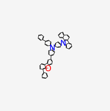 c1ccc(-c2ccc(N(c3ccc(-c4ccc5oc6c(-c7ccccc7)cccc6c5c4)cc3)c3ccc(-n4c5ccccc5c5ccc6ccccc6c54)cc3)cc2)cc1